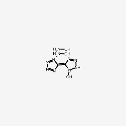 NO.NO.ON1NN=NC1=C1N=NN=N1